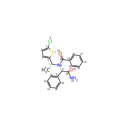 C[C@H](c1ccc(Cl)s1)N(C(=O)c1ccccc1)[C@H](C(N)=O)c1ccccc1